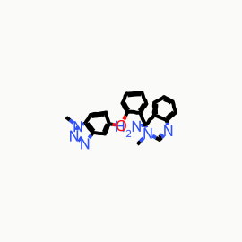 CN1C=Nc2ccccc2C1(N)c1ccccc1Oc1ccc2c(c1)nnn2C